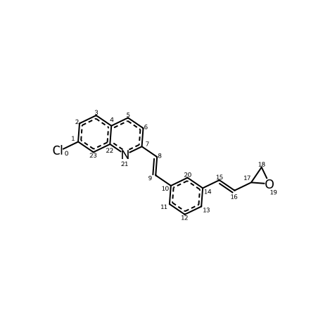 Clc1ccc2ccc(C=Cc3cccc(C=CC4CO4)c3)nc2c1